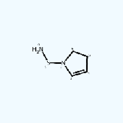 NSN1C=CCC1